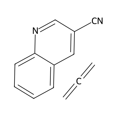 C=C=C.N#Cc1cnc2ccccc2c1